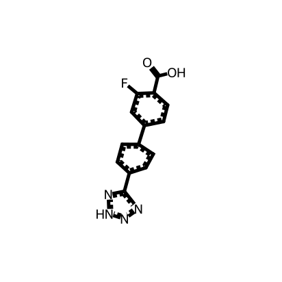 O=C(O)c1ccc(-c2ccc(-c3nn[nH]n3)cc2)cc1F